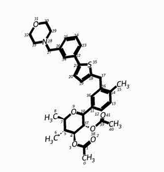 CC(=O)O[C@H]1[C@H](C)[C@@H](C)OC(c2ccc(C)c(Cc3ccc(-c4cccc(CN5CCOCC5)c4)s3)c2)[C@@H]1OC(C)=O